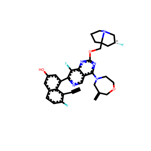 C#Cc1c(F)ccc2cc(O)cc(-c3ncc4c(N5CCOCC(=C)C5)nc(OCC56CCCN5C[C@H](F)C6)nc4c3F)c12